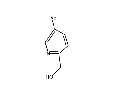 CC(=O)c1ccc(CO)nc1